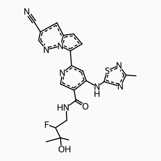 Cc1nsc(Nc2cc(-c3ccc4cc(C#N)cnn34)ncc2C(=O)NCC(F)C(C)(C)O)n1